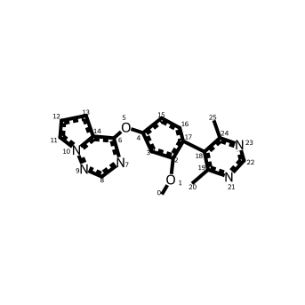 COc1cc(Oc2ncnn3cccc23)ccc1-c1c(C)ncnc1C